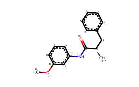 [CH2][C@@H](Cc1ccccc1)C(=O)Nc1cccc(OC)c1